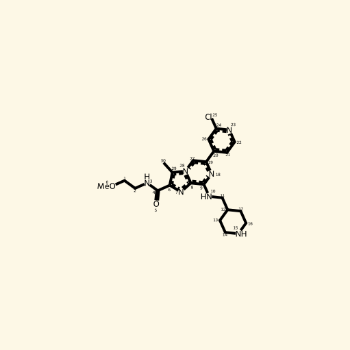 COCCNC(=O)c1nc2c(NCC3CCNCC3)nc(-c3ccnc(Cl)c3)cn2c1C